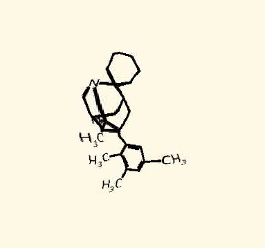 Cc1cc(C)c(C)c(C23CC4CC(C2)C2(CCCCC2)N(C4)[C@@H]3C)c1